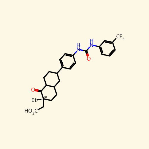 CC[C@]1(CC(=O)O)CCC2CC(c3ccc(NC(=O)Nc4cccc(C(F)(F)F)c4)cc3)CCC2C1=O